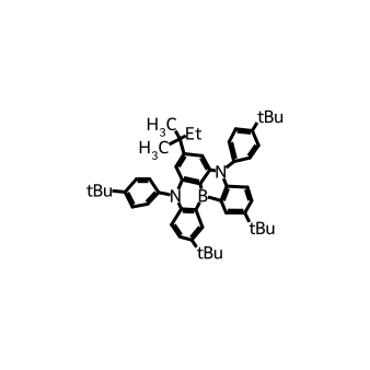 CCC(C)(C)c1cc2c3c(c1)N(c1ccc(C(C)(C)C)cc1)c1ccc(C(C)(C)C)cc1B3c1cc(C(C)(C)C)ccc1N2c1ccc(C(C)(C)C)cc1